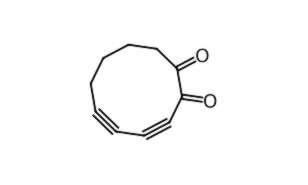 O=C1C#CC#CCCCCC1=O